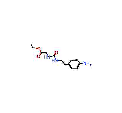 CCOC(=O)CNC(=O)NCCc1ccc(N)cc1